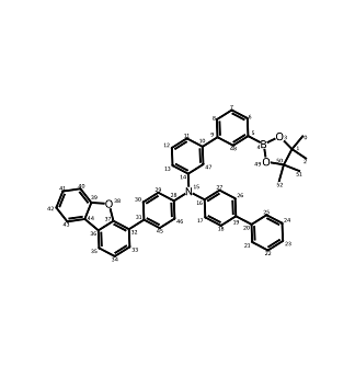 CC1(C)OB(c2cccc(-c3cccc(N(c4ccc(-c5ccccc5)cc4)c4ccc(-c5cccc6c5oc5ccccc56)cc4)c3)c2)OC1(C)C